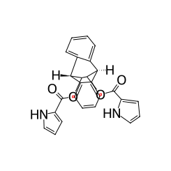 O=C(OC1C(OC(=O)c2ccc[nH]2)[C@H]2c3ccccc3[C@H]1c1ccccc12)c1ccc[nH]1